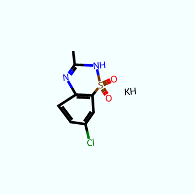 CC1=Nc2ccc(Cl)cc2S(=O)(=O)N1.[KH]